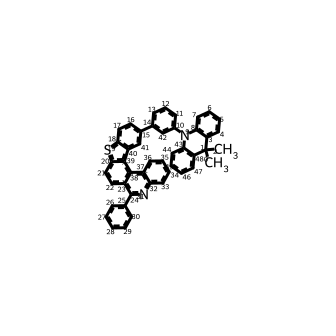 CC1(C)c2ccccc2N(c2cccc(-c3ccc4sc5ccc6c(-c7ccccc7)nc7ccccc7c6c5c4c3)c2)c2ccccc21